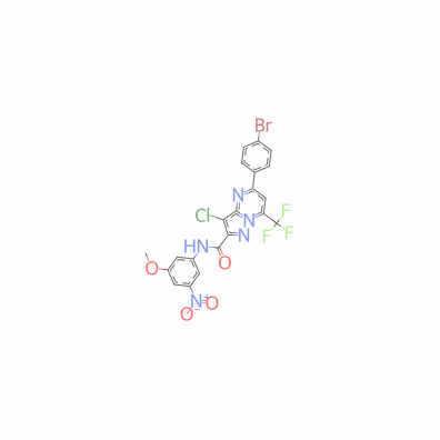 COc1cc(NC(=O)c2nn3c(C(F)(F)F)cc(-c4ccc(Br)cc4)nc3c2Cl)cc([N+](=O)[O-])c1